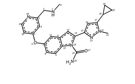 CNCc1cc(Oc2ccc3c(c2)cc(-c2cc(C4CC4)n(C)n2)n3C(N)=O)ccn1